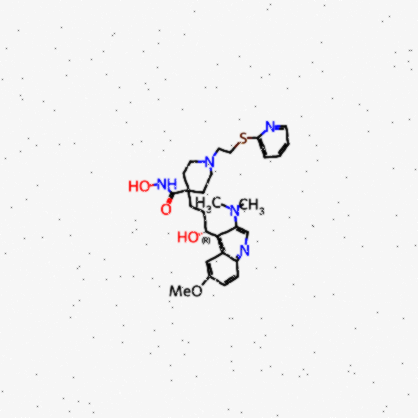 COc1ccc2ncc(N(C)C)c([C@H](O)CCC3(C(=O)NO)CCN(CCSc4ccccn4)CC3)c2c1